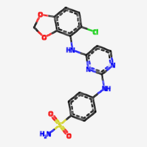 NS(=O)(=O)c1ccc(Nc2nccc(Nc3c(Cl)ccc4c3OCO4)n2)cc1